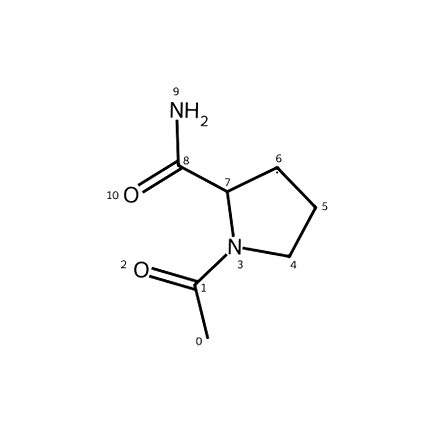 CC(=O)N1CC[CH]C1C(N)=O